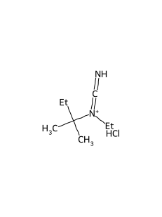 CC[N+](=C=N)C(C)(C)CC.Cl